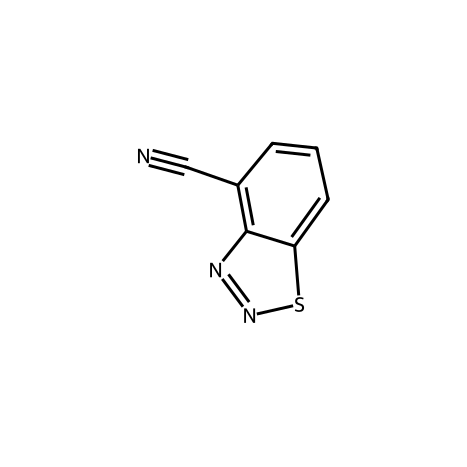 N#Cc1cccc2snnc12